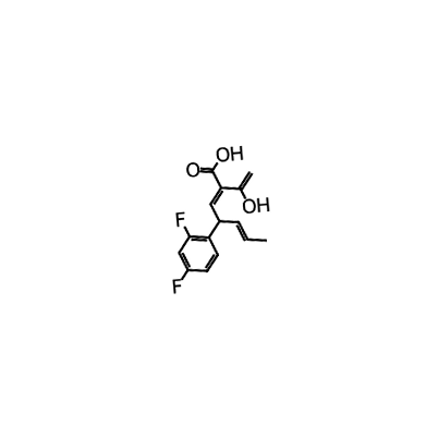 C=C(O)/C(=C\C(C=CC)c1ccc(F)cc1F)C(=O)O